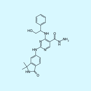 CC1(C)NC(=O)c2ccc(Nc3ncc(C(=O)NN)c(NC(CO)c4ccccc4)n3)cc21